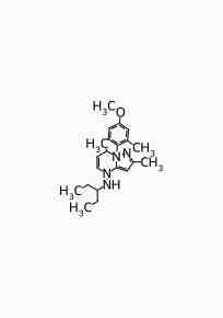 CCC(CC)NN1C=CC(C)[N+]2(c3ccc(OC)cc3C)N=C(C)C=C12